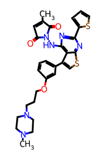 CC1=CC(=O)N(Nc2nc(-c3cccs3)nc3scc(-c4cccc(OCCCN5CCN(C)CC5)c4)c23)C1=O